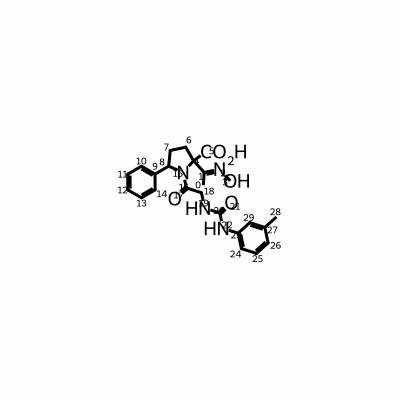 CC(=NO)C1(C(=O)O)CCC(c2ccccc2)N1C(=O)CNC(=O)Nc1cccc(C)c1